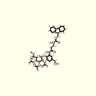 COC(=O)C1OC(Oc2ccc(CO)cc2NC(=O)CCNC(=O)OCC2c3ccccc3-c3ccccc32)C(OC(C)=O)[C@@H](OC(C)=O)[C@@H]1OC(C)=O